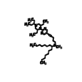 C=CCCCCCC(CCCCCCC)N(C)CCCC#Cc1cnc(N2C(CC)CN(C(CC)CC)CC2CC)nc1